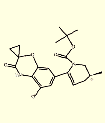 C[C@H]1CC=C(c2cc(Cl)c3c(c2)OC2(CC2)C(=O)N3)N(C(=O)OC(C)(C)C)C1